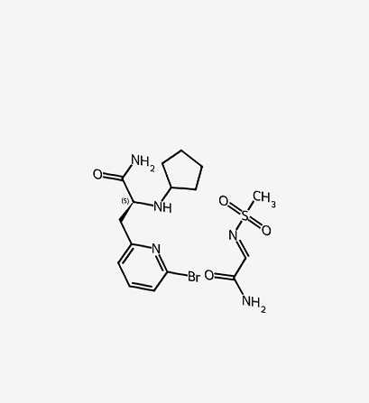 CS(=O)(=O)N=CC(N)=O.NC(=O)[C@H](Cc1cccc(Br)n1)NC1CCCC1